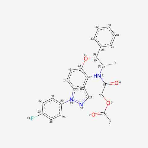 CC(=O)OCC(=O)N[C@@H](C)[C@H](Oc1ccc2c(cnn2-c2ccc(F)cc2)c1)c1ccccc1